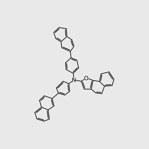 c1ccc2cc(-c3ccc(N(c4ccc(-c5ccc6ccccc6c5)cc4)c4cc5ccc6ccccc6c5o4)cc3)ccc2c1